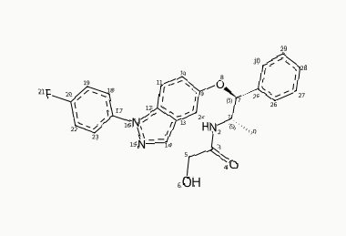 C[C@H](NC(=O)CO)[C@@H](Oc1ccc2c(cnn2-c2ccc(F)cc2)c1)c1ccccc1